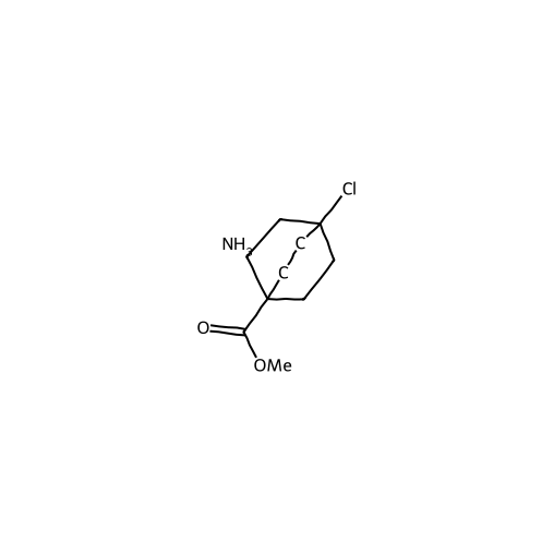 COC(=O)C12CCC(Cl)(CC1)CC2.N